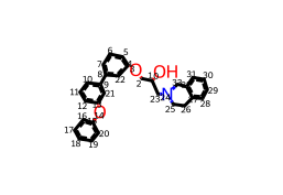 OC(COc1cccc(-c2cccc(Oc3ccccc3)c2)c1)CN1CCc2ccccc2C1